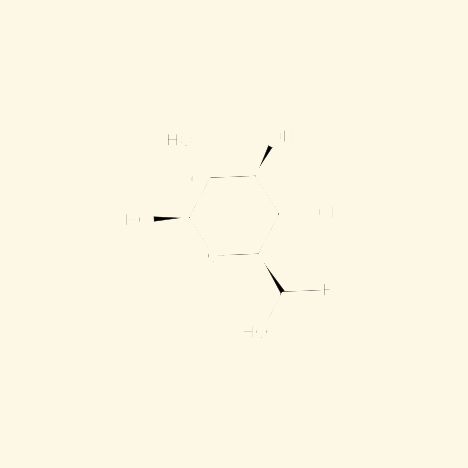 OC(F)[C@H]1O[C@@H](O)[C@H](O)[C@@H](O)[C@@H]1O